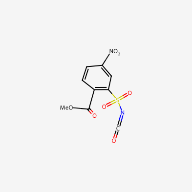 COC(=O)c1ccc([N+](=O)[O-])cc1S(=O)(=O)N=C=O